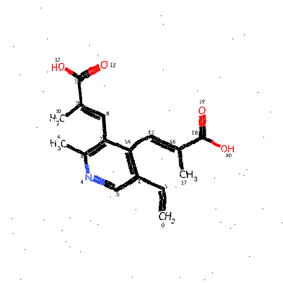 C=Cc1cnc(C)c(C=C(C)C(=O)O)c1C=C(C)C(=O)O